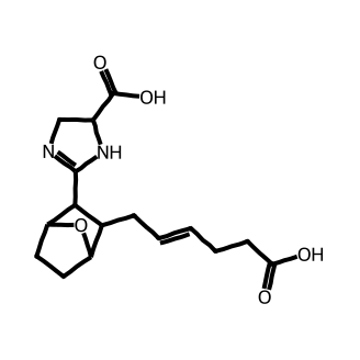 O=C(O)CCC=CCC1C2CCC(O2)C1C1=NCC(C(=O)O)N1